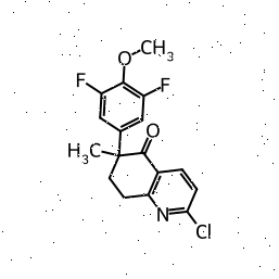 COc1c(F)cc(C2(C)CCc3nc(Cl)ccc3C2=O)cc1F